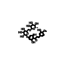 COc1ccc(/C=C/C(=O)c2c(O)cc(O[C@@H]3O[C@H](CO[C@@H]4O[C@@H](C)[C@H](O)[C@@H](O)[C@H]4O)[C@@H](O)[C@H](O)[C@H]3O)cc2O)cc1O